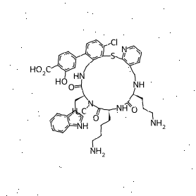 CN1C(=O)[C@H](CCCCN)NC(=O)[C@H](CCCN)NCc2cccnc2Sc2c(Cl)ccc(-c3ccc(C(=O)O)c(O)c3)c2CNC(=O)[C@@H]1Cc1c[nH]c2ccccc12